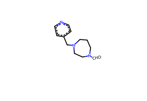 O=[C]N1CCCN(Cc2ccncc2)CC1